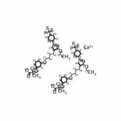 CCOc1nn(-c2ccc(C(F)(F)F)cn2)cc1CCCCOc1cccc(OC(C)(C)C(=O)[O-])c1.CCOc1nn(-c2ccc(C(F)(F)F)cn2)cc1CCCCOc1cccc(OC(C)(C)C(=O)[O-])c1.[Ca+2]